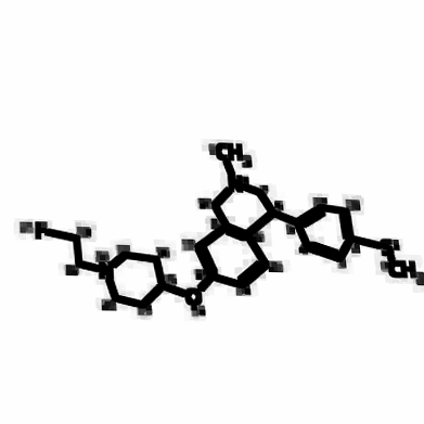 CSc1ccc(C2CN(C)Cc3cc(OC4CCN(CCF)CC4)ccc32)cc1